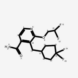 NC(=O)c1ccnc(OCC(F)F)c1CC1CCC(F)(F)CC1